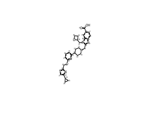 O=C(O)c1ccc2nc(CN3CCC(c4cccc(OCc5nc(C6CC6)cs5)n4)CC3)n(CC3CCO3)c2c1